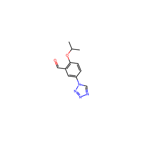 CC(C)Oc1ccc(-n2cnnn2)cc1C=O